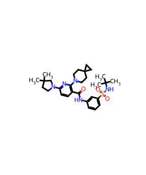 CC1(C)CCN(c2ccc(C(=O)Nc3cccc(S(=O)(=O)NC(C)(C)C)c3)c(N3CCC4(CC3)CC4)n2)C1